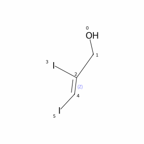 OC/C(I)=C/I